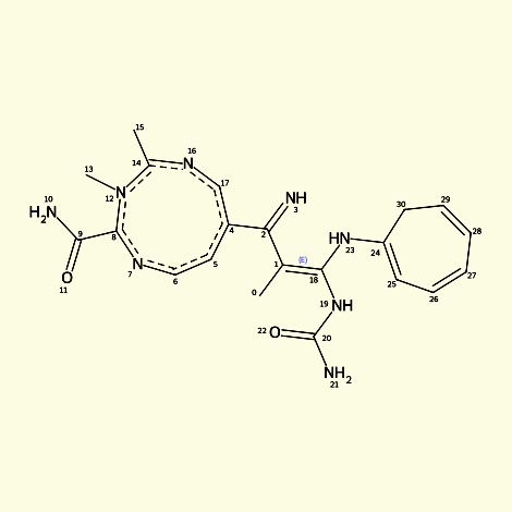 C/C(C(=N)c1ccnc(C(N)=O)n(C)c(C)nc1)=C(\NC(N)=O)NC1=CC=CC=CC1